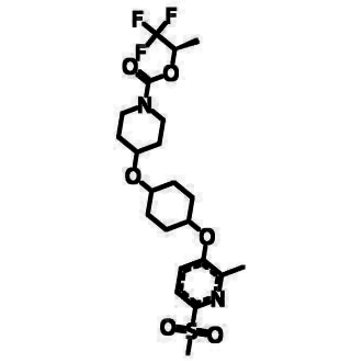 Cc1nc(S(C)(=O)=O)ccc1OC1CCC(OC2CCN(C(=O)O[C@H](C)C(F)(F)F)CC2)CC1